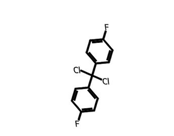 Fc1ccc(C(Cl)(Cl)c2ccc(F)cc2)cc1